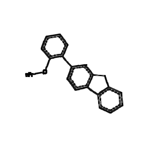 CCCOc1ccccc1-c1[c]c2c(cc1)-c1ccccc1C2